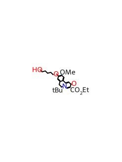 CCOC(=O)c1cn2c(cc1=O)-c1cc(OC)c(OCCCCCO)cc1CC2C(C)(C)C